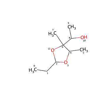 CCC1OC(C)C(C)(C(C)O)O1